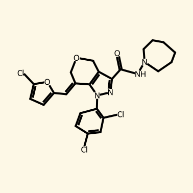 O=C(NN1CCCCCC1)c1nn(-c2ccc(Cl)cc2Cl)c2c1COCC2=Cc1ccc(Cl)o1